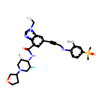 COc1cc(P(C)(C)=O)ccc1NCC#Cc1cc(C(=O)N[C@@H]2[C@@H](C)CN(C3CCOC3)C[C@@H]2F)c2ncn(CC(F)(F)F)c2c1